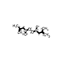 C=C(C)CS(=O)OOS(=O)CC(=C)C